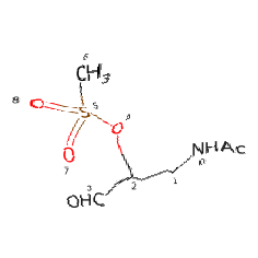 CC(=O)NCC(C=O)OS(C)(=O)=O